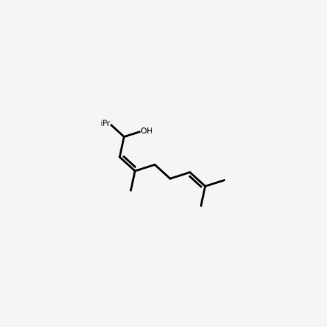 CC(C)=CCCC(C)=CC(O)C(C)C